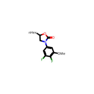 CCCCCCC1CN(c2cc(F)c(F)c(OC)c2)C(=O)O1